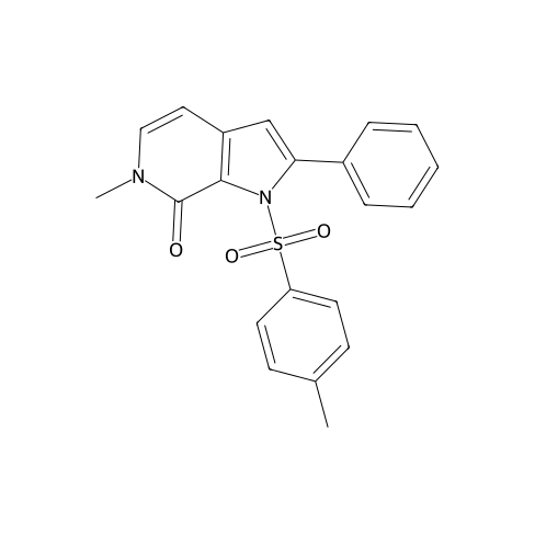 Cc1ccc(S(=O)(=O)n2c(-c3ccccc3)cc3ccn(C)c(=O)c32)cc1